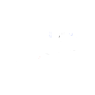 CC(N)[C@]1(C)C=CC(OCC(F)(F)F)CN1